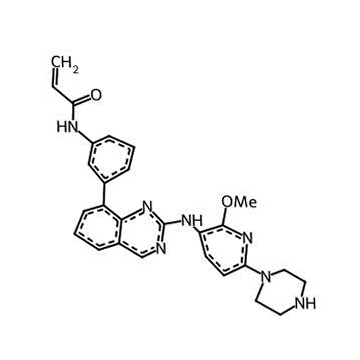 C=CC(=O)Nc1cccc(-c2cccc3cnc(Nc4ccc(N5CCNCC5)nc4OC)nc23)c1